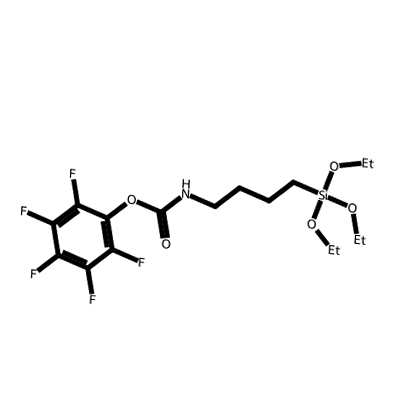 CCO[Si](CCCCNC(=O)Oc1c(F)c(F)c(F)c(F)c1F)(OCC)OCC